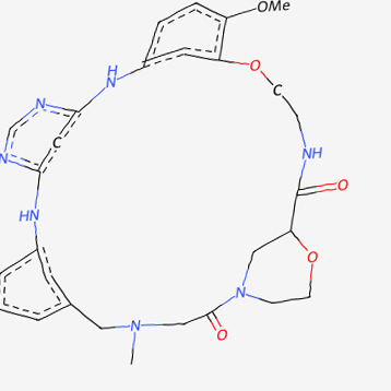 COc1ccc2cc1OCCNC(=O)C1CN(CCO1)C(=O)CN(C)Cc1cccc(c1)Nc1cc(ncn1)N2